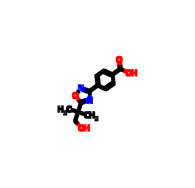 CC(C)(CO)c1nc(-c2ccc(C(=O)O)cc2)no1